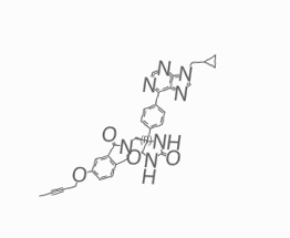 CC#CCOc1ccc2c(c1)C(=O)N(C[C@@]1(c3ccc(-c4ncnc5c4ncn5CC4CC4)cc3)NC(=O)NC1=O)C2